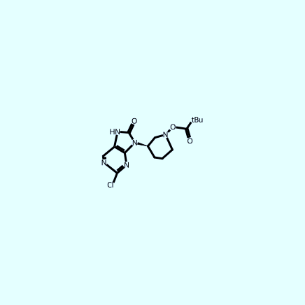 CC(C)(C)C(=O)ON1CCC[C@@H](n2c(=O)[nH]c3cnc(Cl)nc32)C1